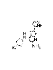 Nc1cc(N[C@H]2CC[C@H](O)CC2)c2sc(-c3ccn[nH]3)cc2n1